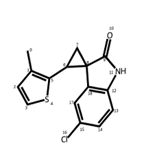 Cc1ccsc1C1CC12C(=O)Nc1ccc(Cl)cc12